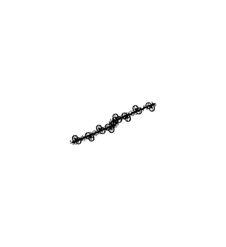 C=CC(=O)OCCCCOC(=O)CCCCC(=O)OCCOC(=O)N1CCN(C(=O)OCCOC(=O)CCCCC(=O)OCCCCOC(=O)C=C)CC1